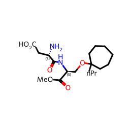 CCCC1(OC[C@H](NC(=O)[C@@H](N)CC(=O)O)C(=O)OC)CCCCCC1